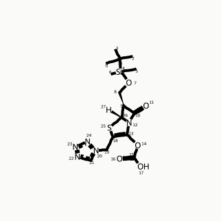 CC(C)(C)[Si](C)(C)OC[C@H]1C(=O)N2C(OC(=O)O)=C(Cn3cnnn3)S[C@H]12